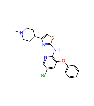 CN1CCC(c2csc(Nc3ncc(Br)cc3Oc3ccccc3)n2)CC1